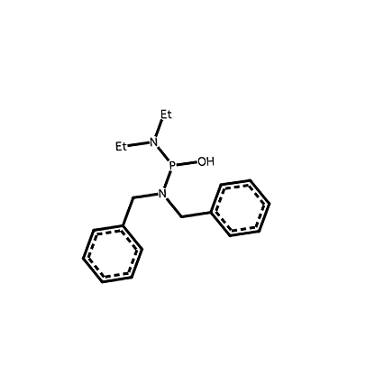 CCN(CC)P(O)N(Cc1ccccc1)Cc1ccccc1